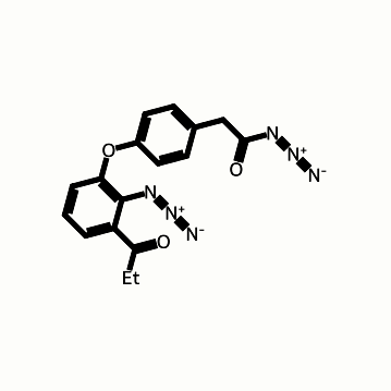 CCC(=O)c1cccc(Oc2ccc(CC(=O)N=[N+]=[N-])cc2)c1N=[N+]=[N-]